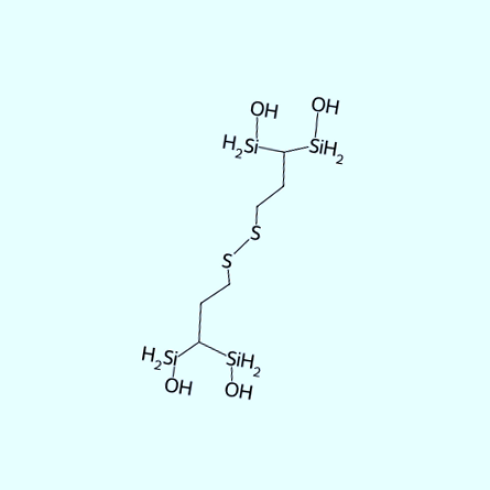 O[SiH2]C(CCSSCCC([SiH2]O)[SiH2]O)[SiH2]O